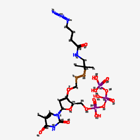 Cc1cn([C@H]2CC(OCSSC(C)(C)CNC(=O)CCCN=[N+]=[N-])[C@@H](COP(=O)(O)OP(=O)(O)OP(=O)(O)O)O2)c(=O)[nH]c1=O